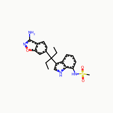 CCC(CC)(c1ccc2c(N)noc2c1)c1c[nH]c2c(NS(C)(=O)=O)cccc12